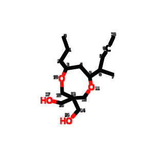 CCCC1CC(C(C)CCC)OCC(CO)(CO)CO1